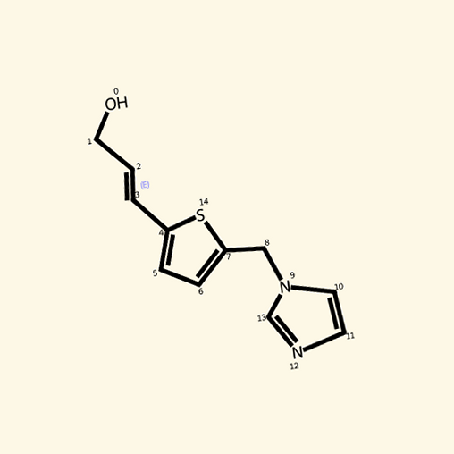 OC/C=C/c1ccc(Cn2ccnc2)s1